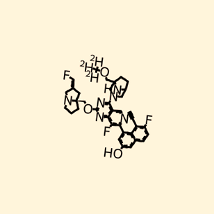 [2H]C([2H])([2H])OCC12CCC(CN(c3nc(OC[C@@]45CCCN4C/C(=C\F)C5)nc4c(F)c(-c5cc(O)cc6ccc(F)c(C#C)c56)ncc34)C1)N2